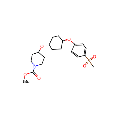 CC(C)(C)OC(=O)N1CCC(O[C@H]2CC[C@H](Oc3ccc(S(C)(=O)=O)cc3)CC2)CC1